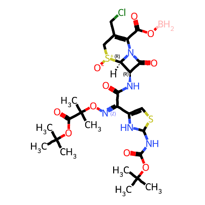 BOC(=O)C1=C(CCl)C[S+]([O-])[C@@H]2[C@H](NC(=O)/C(=N\OC(C)(C)C(=O)OC(C)(C)C)C3=CSC(NC(=O)OC(C)(C)C)N3)C(=O)N12